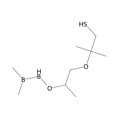 CB(C)BOC(C)COC(C)(C)CS